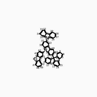 c1ccc(C(c2ccccc2)(c2ccccc2)c2ccc3c4cc(-n5c6ccccc6c6ccccc65)ccc4n(-c4ccc5oc6ccccc6c5c4)c3c2)cc1